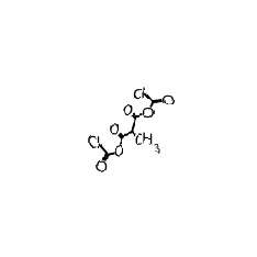 CC(C(=O)OC(=O)Cl)C(=O)OC(=O)Cl